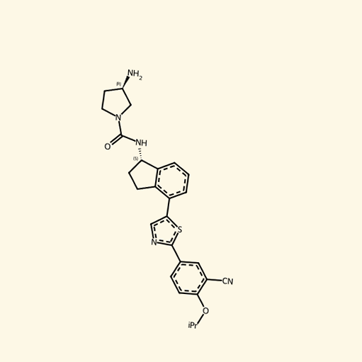 CC(C)Oc1ccc(-c2ncc(-c3cccc4c3CC[C@@H]4NC(=O)N3CC[C@@H](N)C3)s2)cc1C#N